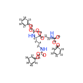 O=C(NCCCC(NC(=O)OOc1ccccc1)C(=O)OCCNC(=O)OOc1ccccc1)OOc1ccccc1